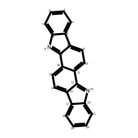 c1ccc2c(c1)N=c1c-2ccc2c3c(ccc12)-c1ccccc1N=3